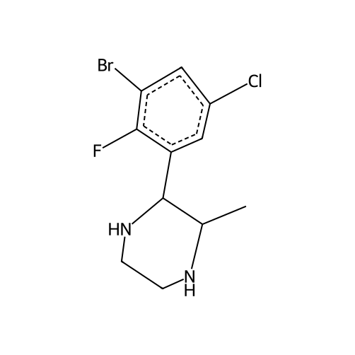 CC1NCCNC1c1cc(Cl)cc(Br)c1F